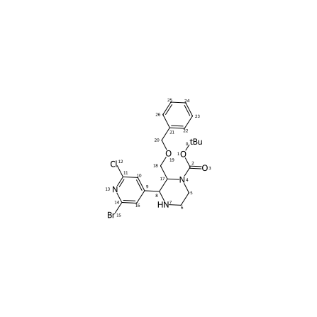 CC(C)(C)OC(=O)N1CCNC(c2cc(Cl)nc(Br)c2)C1COCc1ccccc1